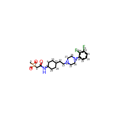 CS(=O)(=O)CC(=O)NC1CCC(CCN2CCN(c3cccc(F)c3F)CC2)CC1